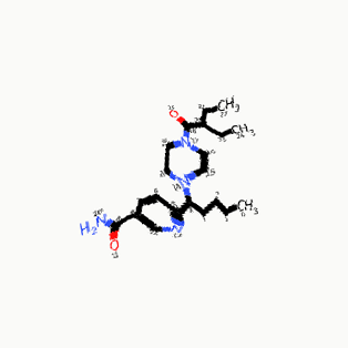 CCCCC(c1ccc(C(N)=O)cn1)N1CCN(C(=O)C(CC)CC)CC1